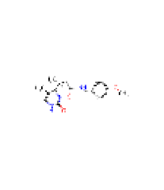 COc1ccc(CNC(=O)C[C@@H](C)c2nc(=O)[nH]cc2C)cc1